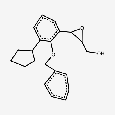 OCC1OC1c1cccc(C2CCCC2)c1OCc1ccccc1